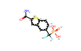 NC(=O)c1cc2cc(C(F)(F)P(=O)(O)O)ccc2s1